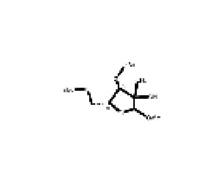 CCCCOC[C@H]1SC(OC)C(C)(O)[C@@H]1OCCCC